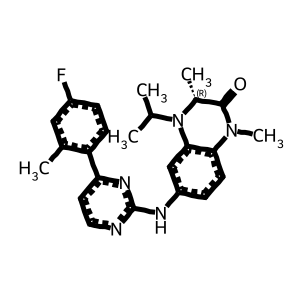 Cc1cc(F)ccc1-c1ccnc(Nc2ccc3c(c2)N(C(C)C)[C@H](C)C(=O)N3C)n1